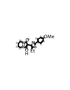 CCc1sc(-c2ccc(OC)cc2)nc1-c1c(O)n2n(c1=O)CCCC2